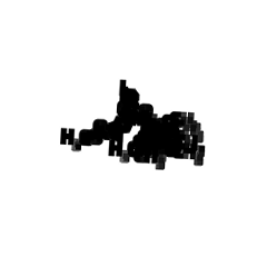 CCOC(=O)Cn1cc2c(n1)CCN(C(=O)[C@H](Cc1ccc(I)cc1)NC(=O)c1ccc(C(=NC(=O)OC(C)(C)C)N(C(=O)OC(C)(C)C)C(=O)OC(C)(C)C)cc1)C2